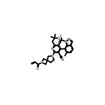 C=CC(=O)N1CC2(CCN(c3nc4c(c(-c5c(C)ccc6cnn(C(F)F)c56)c3C#N)COC(C)(C)C4)C2)C1